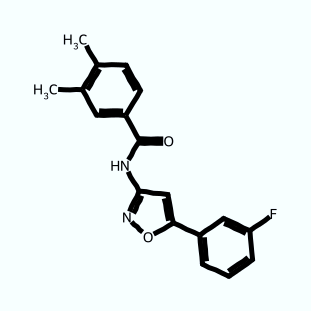 Cc1ccc(C(=O)Nc2cc(-c3cccc(F)c3)on2)cc1C